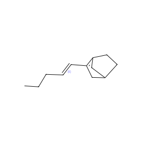 CCC/C=C/C1=C2CCC(C1)C2